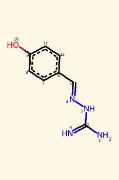 N=C(N)N/N=C/c1ccc(O)cc1